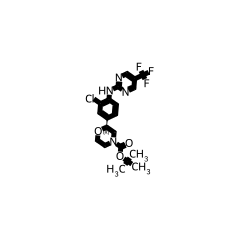 CC(C)(C)OC(=O)N1CCO[C@H](c2ccc(Nc3ncc(C(F)(F)F)cn3)c(Cl)c2)C1